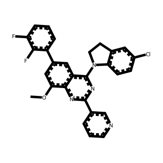 COc1cc(-c2cccc(F)c2F)cc2c(N3CCc4cc(Cl)ccc43)nc(-c3cccnc3)nc12